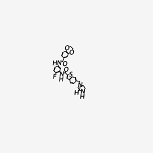 O=C(Nc1ccc(F)c(NC(=O)c2cc3ccc(CN4C[C@@H]5CC4CN5)cc3s2)c1)c1ccc2c(c1)OCCO2